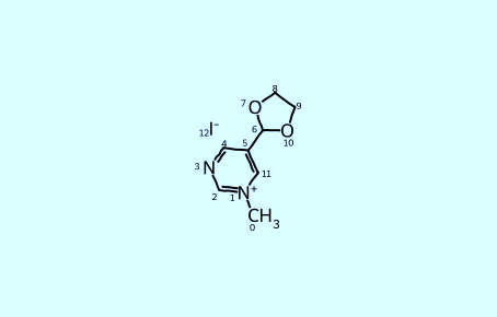 C[n+]1cncc(C2OCCO2)c1.[I-]